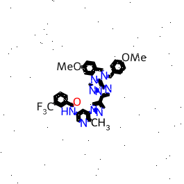 COc1ccc(CN(Cc2ccc(OC)cc2)c2ncnn3c(-c4cnn(-c5cc(NC(=O)c6cccc(C(F)(F)F)c6)cnc5C)c4)cnc23)cc1